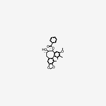 COc1cc2c(c(C)c1C)-c1c(cc3c(c1C)OCO3)C[C@H](C)[C@@](C)(O)[C@H]2OC(=O)c1ccccc1